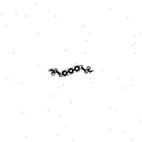 C=CC(=O)OC#COc1ccc(-c2ccc(-c3ccc(OC#COC(=O)C=C)cc3)cc2)cc1